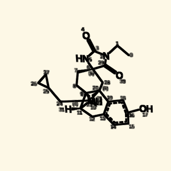 CCN1C(=O)N[C@]2(CC[C@@]3(O)[C@H]4Cc5ccc(O)cc5[C@@]3(CCN4CC3CC3)C2)C1=O